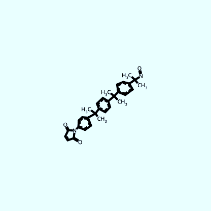 CC(C)(N=O)c1ccc(C(C)(C)c2ccc(C(C)(C)c3ccc(N4C(=O)C=CC4=O)cc3)cc2)cc1